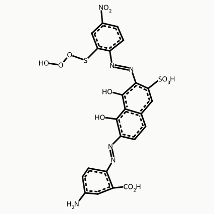 Nc1ccc(/N=N/c2ccc3cc(S(=O)(=O)O)c(/N=N/c4ccc([N+](=O)[O-])cc4SOOO)c(O)c3c2O)c(C(=O)O)c1